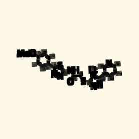 CCn1c(SCC(=O)Nc2nnc(-c3ccc(OC)cc3)s2)nnc1-c1cccnc1